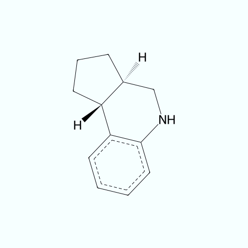 c1ccc2c(c1)NC[C@@H]1CCC[C@@H]21